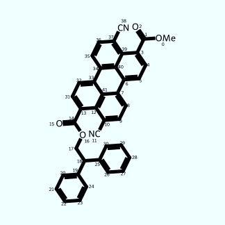 COC(=O)c1ccc2c3ccc(C#N)c4c(C(=O)OCC(c5ccccc5)c5ccccc5)ccc(c5ccc(C#N)c1c25)c43